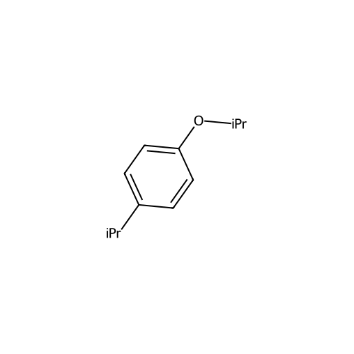 CC(C)Oc1ccc(C(C)C)cc1